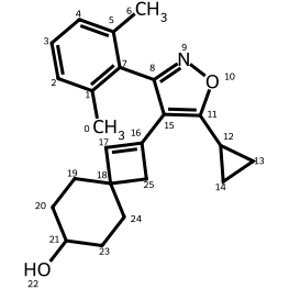 Cc1cccc(C)c1-c1noc(C2CC2)c1C1=CC2(CCC(O)CC2)C1